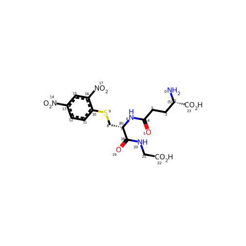 N[C@@H](CCC(=O)N[C@@H](CSc1ccc([N+](=O)[O-])cc1[N+](=O)[O-])C(=O)NCC(=O)O)C(=O)O